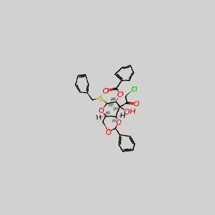 O=C(O[C@H]1[C@H](SCc2ccccc2)O[C@@H]2COC(c3ccccc3)O[C@@H]2[C@@]1(O)C(=O)CCl)c1ccccc1